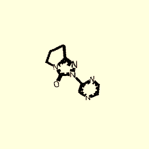 O=c1n(-c2cnccn2)nc2n1CCC2